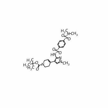 CN(C)S(=O)(=O)c1ccc(S(=O)(=O)Nc2nn(C)cc2C2=CCN(C(=O)OC(C)(C)C)CC2)cc1